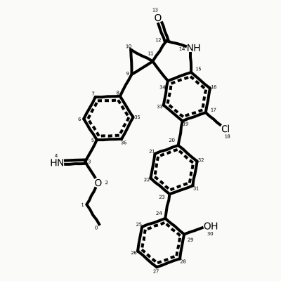 CCOC(=N)c1ccc(C2CC23C(=O)Nc2cc(Cl)c(-c4ccc(-c5ccccc5O)cc4)cc23)cc1